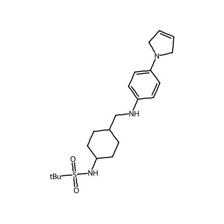 CC(C)(C)S(=O)(=O)NC1CCC(CNc2ccc(N3CC=CC3)cc2)CC1